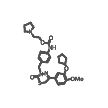 COc1ccc(C2=NN(Cc3ccc(NC(=O)OCCN4CCCC4)cc3)C(=O)SC2)cc1OC1CCCC1